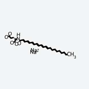 CCCCCCCCCC=CC=CC=CC=CC=CC=CC(=O)N[C@@H](CCC(=O)[O-])C(=O)[O-].[Na+].[Na+]